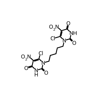 O=c1[nH]c(=O)n(CCCCCn2c(Cl)c([N+](=O)[O-])c(=O)[nH]c2=O)c(Cl)c1[N+](=O)[O-]